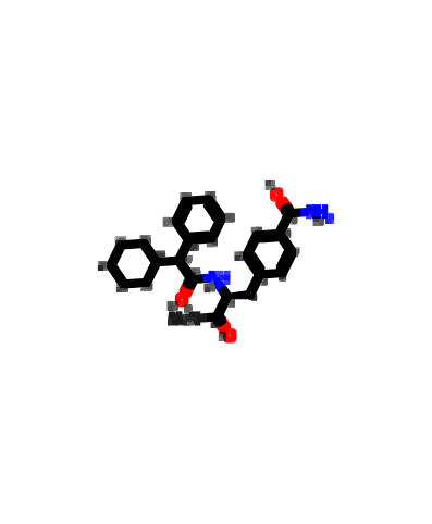 CNC(=O)[C@H](Cc1ccc(C(N)=O)cc1)NC(=O)C(c1ccccc1)C1CCCCC1